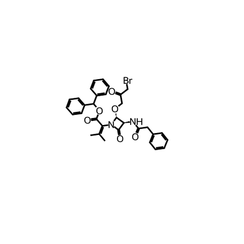 CC(C)=C(C(=O)OC(c1ccccc1)c1ccccc1)N1C(=O)[C@H](NC(=O)Cc2ccccc2)[C@H]1OCC(=O)CBr